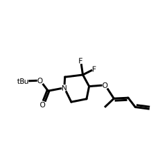 C=C/C=C(\C)OC1CCN(C(=O)OC(C)(C)C)CC1(F)F